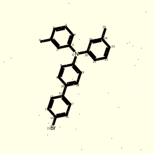 Cc1cccc(N(c2ccc(-c3ccc(Br)cc3)cc2)c2cccc(C)c2)c1